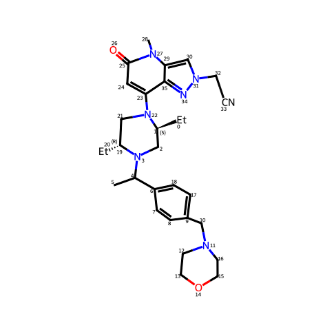 CC[C@H]1CN(C(C)c2ccc(CN3CCOCC3)cc2)[C@H](CC)CN1c1cc(=O)n(C)c2cn(CC#N)nc12